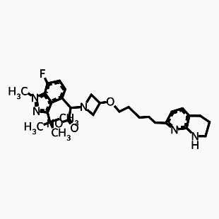 Cn1nc(C(C)(C)C)c2c(C(C(=O)O)N3CC(OCCCCCc4ccc5c(n4)NCCC5)C3)ccc(F)c21